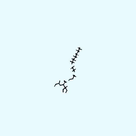 CCC(C)CC(C(=O)OCCC(F)(F)OC(F)(F)C(F)(F)OC(F)(F)C(F)(F)C(F)(F)C(F)(F)C(F)(F)C(F)(F)F)C(C)(CC)CC